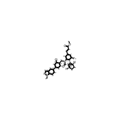 COC(=O)/C=C/c1cc(F)cc(N(Cc2ccc(-c3ccc4c(cnn4C)c3)cc2Cl)C(=O)[C@@H]2C[C@@H]3CC[C@H]2C3)c1